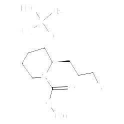 CC(C)(C)OC(=O)N1CCC[C@H](O[Si](C)(C)C(C)(C)C)[C@H]1CCCBr